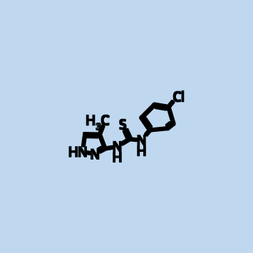 Cc1c[nH]nc1NC(=S)Nc1ccc(Cl)cc1